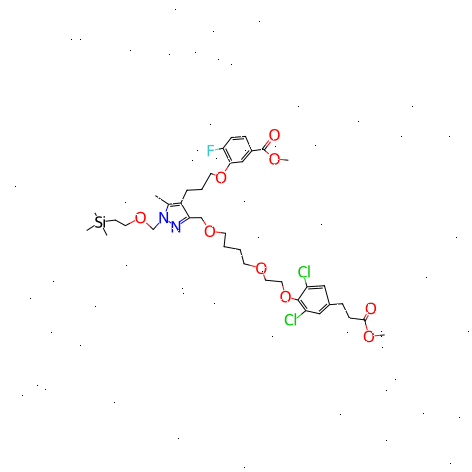 COC(=O)CCc1cc(Cl)c(OCCOCCCCOCc2nn(COCC[Si](C)(C)C)c(C)c2CCCOc2cc(C(=O)OC)ccc2F)c(Cl)c1